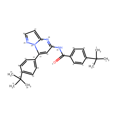 CC(C)(C)c1ccc(C(=O)Nc2cc(-c3ccc(C(C)(C)C)cc3)n3nccc3n2)cc1